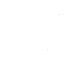 CCCCCC(C)C(=O)OC1NCC12CC(CO)C2